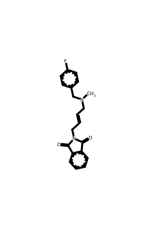 CN(CC=CCN1C(=O)c2ccccc2C1=O)Cc1ccc(F)cc1